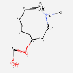 CN1CCC(OCO)CCC[SiH2]1